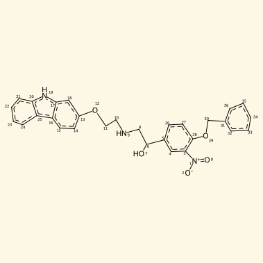 O=[N+]([O-])c1cc(C(O)CNCCOc2ccc3c(c2)[nH]c2ccccc23)ccc1OCc1ccccc1